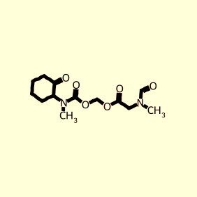 CN(C=O)CC(=O)OCOC(=O)N(C)C1CCCCC1=O